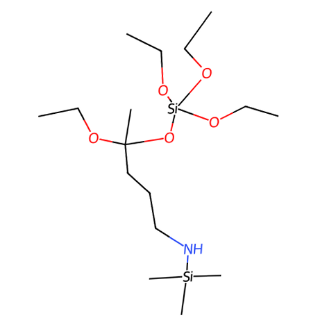 CCOC(C)(CCCN[Si](C)(C)C)O[Si](OCC)(OCC)OCC